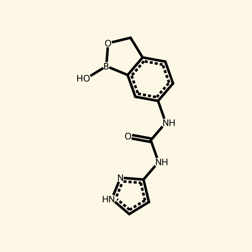 O=C(Nc1ccc2c(c1)B(O)OC2)Nc1cc[nH]n1